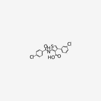 O=C(Nc1scc(-c2cccc(Cl)c2)c1C(=O)O)c1ccc(Cl)cc1